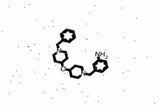 Nc1cccc(CN2CCC(OC3CCN(Cc4ccccc4)CC3)CC2)c1